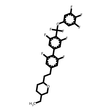 CCC1CCC(CCc2cc(F)c(-c3cc(F)c(C(F)(F)Oc4cc(F)c(F)c(F)c4)c(F)c3)c(F)c2)OC1